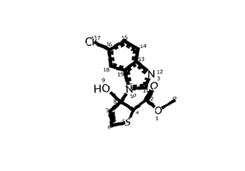 COC(=O)C1SC=CC1(O)n1cnc2ccc(Cl)cc21